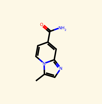 Cc1cnc2cc(C(N)=O)ccn12